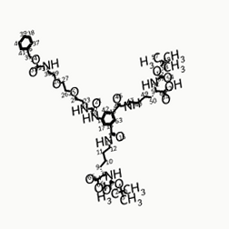 CC(C)(C)OC(=O)N[C@@H](CCCCNC(=O)c1cc(NC(=O)NCCOCCOCCNC(=O)OCc2ccccc2)cc(C(=O)NCCCC[C@H](NC(=O)OC(C)(C)C)C(=O)O)c1)C(=O)O